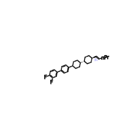 CCC/C=C/[C@H]1CC[C@H](C2CCC(c3ccc(-c4ccc(F)c(F)c4)cc3)CC2)CC1